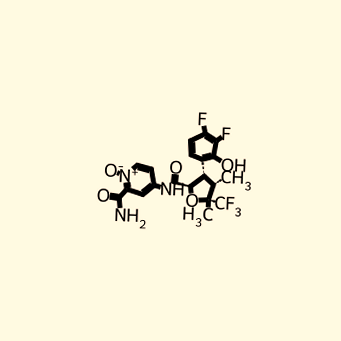 C[C@H]1[C@@H](c2ccc(F)c(F)c2O)[C@H](C(=O)Nc2cc[n+]([O-])c(C(N)=O)c2)O[C@@]1(C)C(F)(F)F